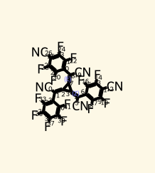 N#CC(=C1C(=C(\C#N)c2c(F)c(F)c(C#N)c(F)c2F)/C1=C(\C#N)c1c(F)c(F)c(C#N)c(F)c1F)c1c(F)c(F)c(F)c(F)c1F